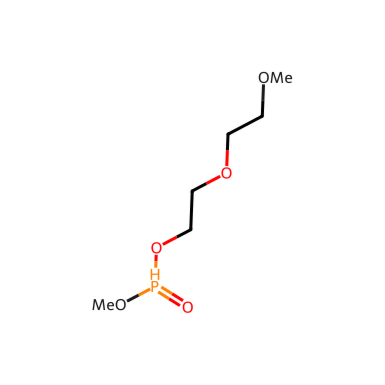 COCCOCCO[PH](=O)OC